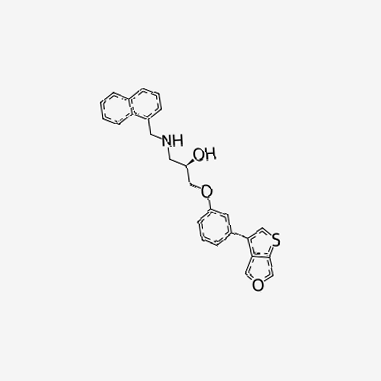 O[C@H](CNCc1cccc2ccccc12)COc1cccc(-c2csc3cocc23)c1